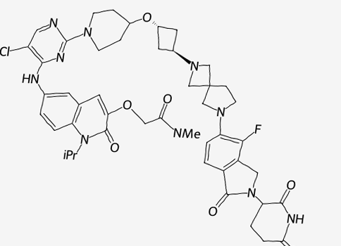 CNC(=O)COc1cc2cc(Nc3nc(N4CCC(O[C@H]5C[C@H](N6CC7(CCN(c8ccc9c(c8F)CN(C8CCC(=O)NC8=O)C9=O)C7)C6)C5)CC4)ncc3Cl)ccc2n(C(C)C)c1=O